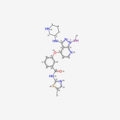 CPn1nc(NC2CCCNC2)c2c(Oc3cccc(C(=O)Nc4ncc(C)s4)c3)ccnc21